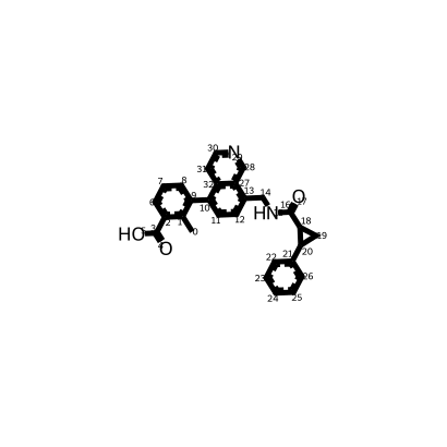 Cc1c(C(=O)O)cccc1-c1ccc(CNC(=O)C2CC2c2ccccc2)c2cnccc12